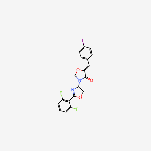 O=C1C(=Cc2ccc(I)cc2)OCN1C1COC(c2c(F)cccc2F)=N1